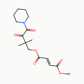 CC(C)OC(=O)/C=C/C(=O)OCC(C)(C)C(=O)C(=O)N1CCCCC1